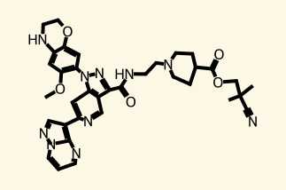 COc1cc2c(cc1-n1nc(C(=O)NCCN3CCC(C(=O)OCC(C)(C)C#N)CC3)c3cnc(-c4cnn5cccnc45)cc31)OCCN2